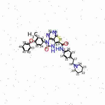 Cc1cc(N2C(=O)Nc3c(C(=O)Nc4ccc(CCN5CCCCC5)cc4)sc4ncnc2c34)ccc1Oc1ccccc1